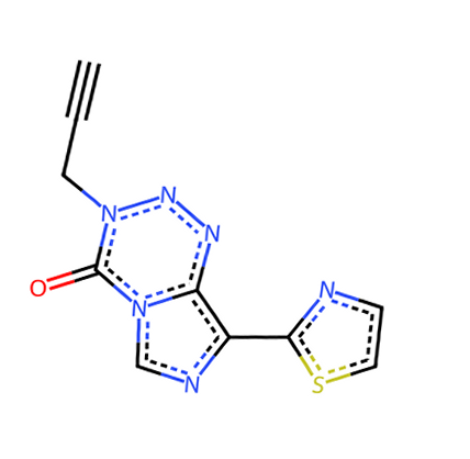 C#CCn1nnc2c(-c3nccs3)ncn2c1=O